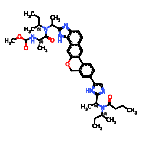 CCCC(=O)N([C@@H](C)CC)[C@@H](C)c1ncc(-c2ccc3c(c2)COc2cc4c(ccc5nc(C(C)N(C(=O)[C@H](C)NC(=O)OC)[C@@H](C)CC)[nH]c54)cc2-3)[nH]1